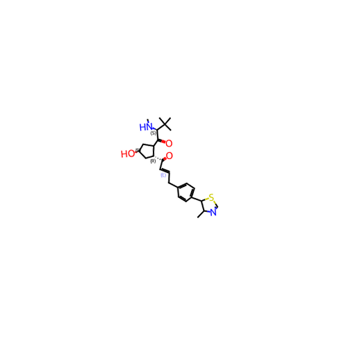 CN[C@H](C(=O)C1C[C@H](O)C[C@H]1C(=O)/C=C/Cc1ccc(C2SC=NC2C)cc1)C(C)(C)C